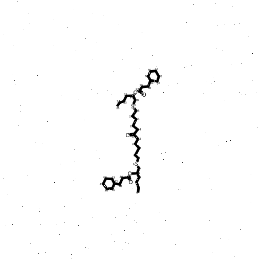 CCCCC(CSCCCCCC(=O)CCCCCSCC(CCCC)OC(=O)CCC1CCCCC1)OC(=O)CCC1CCCCC1